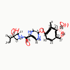 Cc1c(Oc2cnc(C(=O)N3CC(O)(C(C)C)C3)cn2)ccc2c1B(O)OC2